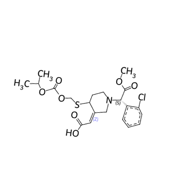 COC(=O)[C@H](c1ccccc1Cl)N1CCC(SCOC(=O)OC(C)C)/C(=C\C(=O)O)C1